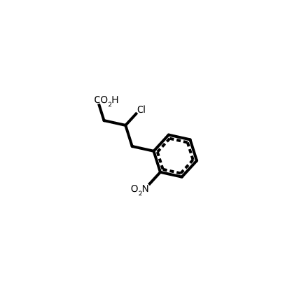 O=C(O)CC(Cl)Cc1ccccc1[N+](=O)[O-]